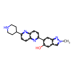 Cn1cc2cc(O)c(-c3ccc4nc(C5CCNCC5)ccc4n3)cc2n1